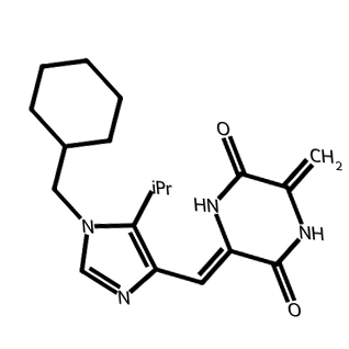 C=c1[nH]c(=O)c(=Cc2ncn(CC3CCCCC3)c2C(C)C)[nH]c1=O